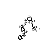 CN(C)C/C=C/C(=O)C1CCOC[C@@H](C(=O)NCCn2cnc3cnc(Nc4ncc(-c5ncccc5F)s4)cc32)C1